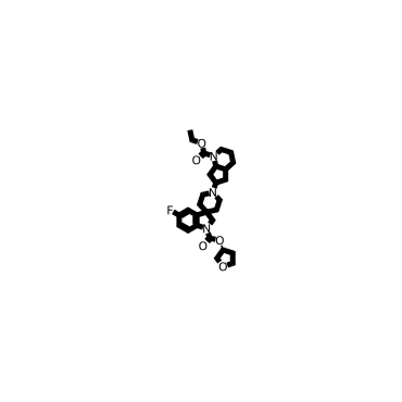 CCOC(=O)N1CCCC2CC(N3CCC4(CC3)CN(C(=O)O[C@@H]3CCOC3)c3ccc(F)cc34)CC21